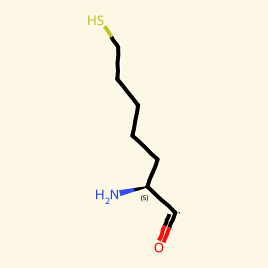 N[C@H]([C]=O)CCCCCS